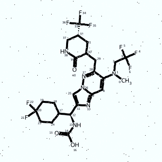 CN(CC(F)(F)F)c1cc2nc([C@@H](NC(=O)O)C3CCC(F)(F)CC3)cn2nc1CC1C[C@@H](C(F)(F)F)CNC1=O